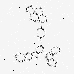 c1ccc2cc3c(cc2c1)oc1c(-c2cc4ccccc4c4ccccc24)cc(-c2ccc(-c4ccc5ccc6cccc7ccc4c5c67)cc2)cc13